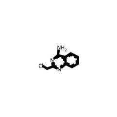 Nc1nc(CCl)nc2ccccc12